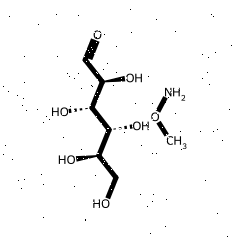 CON.O=C[C@@H](O)[C@@H](O)[C@H](O)[C@H](O)CO